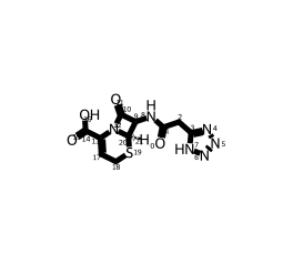 O=C(Cc1nnn[nH]1)NC1C(=O)N2C(C(=O)O)=CCS[C@H]12